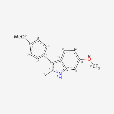 COc1ccc(-c2c(C)[nH]c3cc(OC(F)(F)F)ccc23)cc1